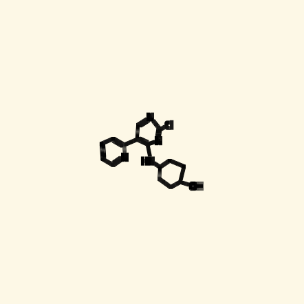 OC1CCC(Nc2nc(Cl)ncc2-c2ccccn2)CC1